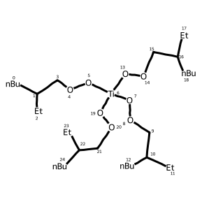 CCCCC(CC)CO[O][Ti]([O]OCC(CC)CCCC)([O]OCC(CC)CCCC)[O]OCC(CC)CCCC